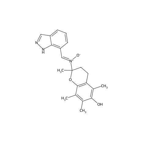 Cc1c(C)c2c(c(C)c1O)CCC(C)(/[N+]([O-])=C/c1cccc3cn[nH]c13)O2